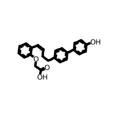 O=C(O)COc1ccccc1/C=C\CCc1ccc(-c2ccc(O)cc2)cc1